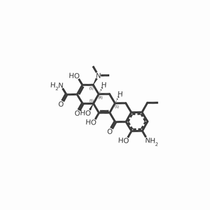 CCc1cc(N)c(O)c2c1C[C@@H]1C[C@@H]3[C@H](N(C)C)C(O)=C(C(N)=O)C(=O)[C@@]3(O)C(O)=C1C2=O